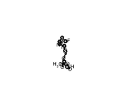 Cn1c(=O)n(C2CCC(=O)NC2=O)c2ccc(OCCCN3CCN(c4cccc(-c5cnc6ccc(N7CCCC7c7cccc(F)c7)nn56)n4)CC3)cc21